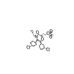 CS(=O)(=O)OCC[C@@H]1O[C@@H](c2cccc(Cl)c2)[C@@H](c2ccc(Cl)cc2)N(CC2CC2)C1=O